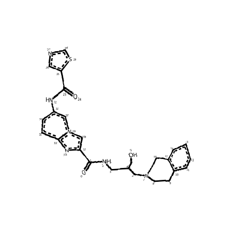 O=C(NCC(O)CN1CCc2ccccc2C1)c1cn2cc(NC(=O)c3cncs3)ccc2n1